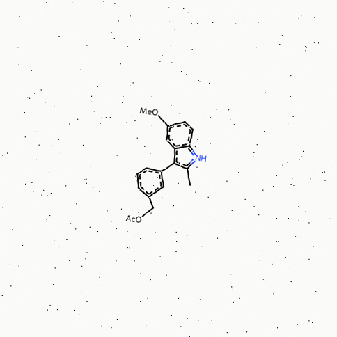 COc1ccc2[nH]c(C)c(-c3cccc(COC(C)=O)c3)c2c1